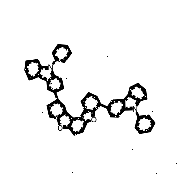 c1ccc(-n2c3ccccc3c3cc(-c4ccc5oc6ccc7oc8c(-c9ccc%10c(c9)c9ccccc9n%10-c9ccccc9)cccc8c7c6c5c4)ccc32)cc1